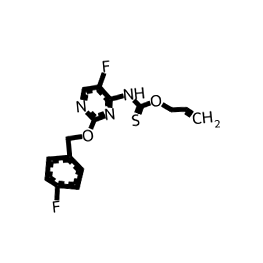 C=CCOC(=S)Nc1nc(OCc2ccc(F)cc2)ncc1F